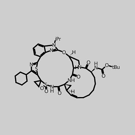 CC(C)n1c2nc3c(cccc31)-c1nc(C3CCCCC3)c(s1)C1(CC1)S(=O)(=O)NC(=O)[C@@]13C[C@H]1/C=C\CCCCC[C@H](NC(=O)OC(C)(C)C)C(=O)N1C[C@@H](C[C@H]1C(=O)N3)O2